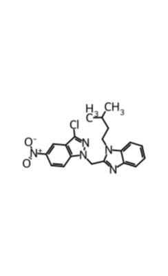 CC(C)CCn1c(Cn2nc(Cl)c3cc([N+](=O)[O-])ccc32)nc2ccccc21